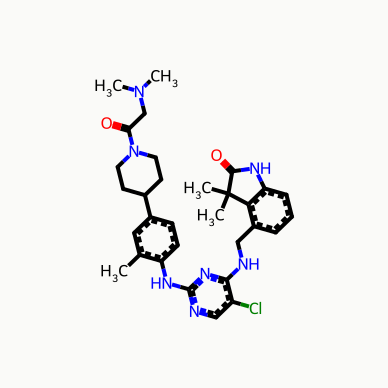 Cc1cc(C2CCN(C(=O)CN(C)C)CC2)ccc1Nc1ncc(Cl)c(NCc2cccc3c2C(C)(C)C(=O)N3)n1